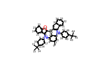 Cc1cc2c3c(c1)N(c1ccc(C(C)(C)C)cc1)c1c(oc4ccccc14)B3C1=C(c3ccccc3C1)N2c1ccc(C(C)(C)C)cc1